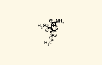 CCOC(=O)SC1=C(C(=O)OC)N2C(=O)[C@@H](N)C2SC1